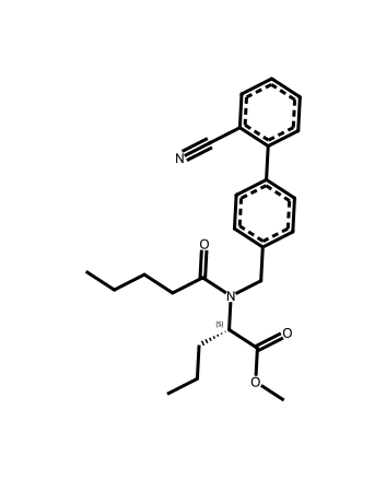 CCCCC(=O)N(Cc1ccc(-c2ccccc2C#N)cc1)[C@@H](CCC)C(=O)OC